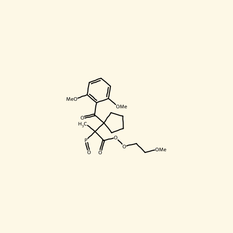 COCCOOC(=O)C(C)(P=O)C1(C(=O)c2c(OC)cccc2OC)CCCC1